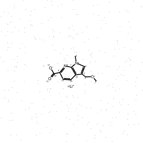 COCc1cn(C)c2nc(C(=O)[O-])ccc12.[Li+]